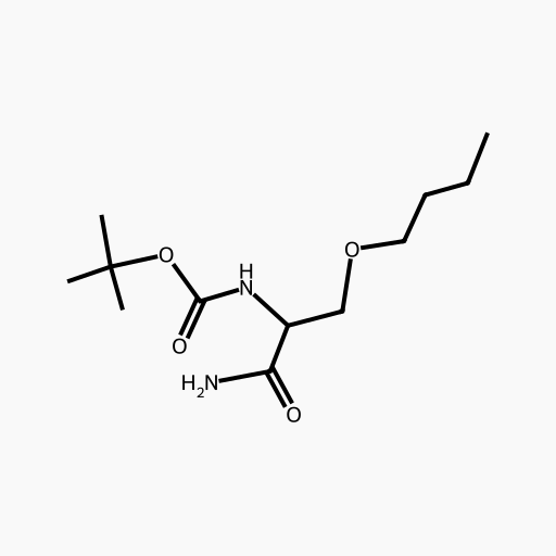 CCCCOCC(NC(=O)OC(C)(C)C)C(N)=O